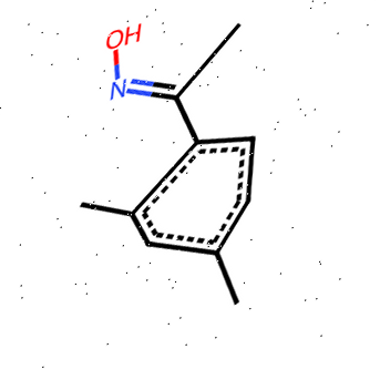 CC(=NO)c1ccc(C)cc1C